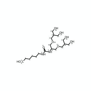 O=C(O)CCCCCNC(=O)NC(COCC(CO)CO)COCC(CO)CO